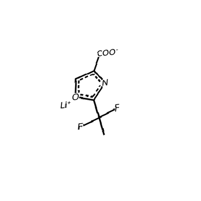 CC(F)(F)c1nc(C(=O)[O-])co1.[Li+]